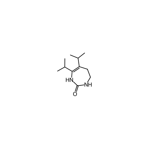 CC(C)C1=C(C(C)C)NC(=O)NCC1